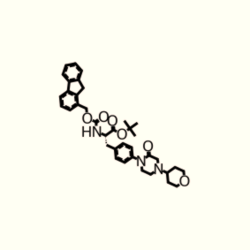 CC(C)(C)OC(=O)[C@H](Cc1ccc(N2CCN(C3CCOCC3)CC2=O)cc1)NC(=O)OCc1cccc2c1Cc1ccccc1-2